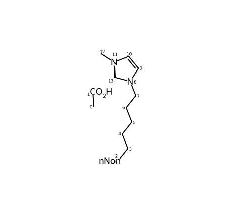 CC(=O)O.CCCCCCCCCCCCCCN1C=CN(C)C1